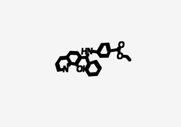 CCOC(=O)c1ccc(NC(c2ccccc2)c2ccc3cccnc3c2O)cc1